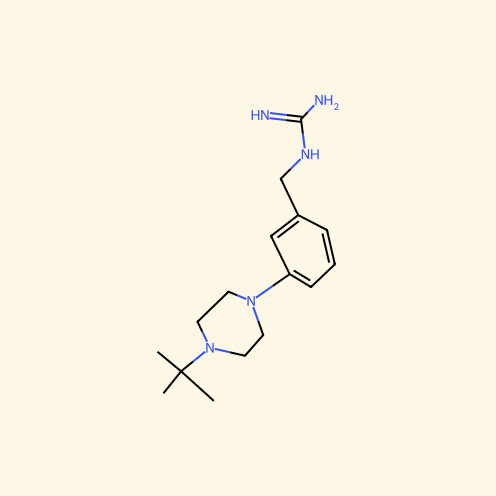 CC(C)(C)N1CCN(c2cccc(CNC(=N)N)c2)CC1